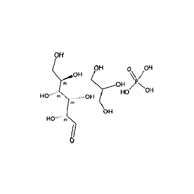 O=C[C@H](O)[C@@H](O)[C@H](O)[C@H](O)CO.O=P(O)(O)O.OCC(O)CO